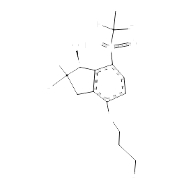 O=S(=O)(c1ccc(OCCCF)c2c1[C@H](O)C(F)(F)C2)C(F)(F)F